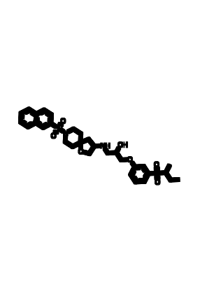 CCC(C)S(=O)(=O)c1cccc(OCC(O)CNC2COC3(CCN(S(=O)(=O)c4ccc5ccccc5c4)CC3)C2)c1